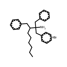 Br.CCCCCCC(Cc1ccccc1)C(N)(Cc1ccccc1)Cc1ccccc1